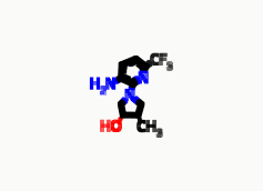 C[C@H]1CN(c2nc(C(F)(F)F)ccc2N)C[C@H]1O